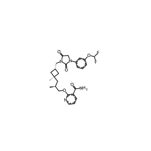 C[C@H](COc1ncccc1C(N)=O)C[C@]1(C)C[C@@H](CN2C(=O)CN(c3cccc(OC(F)F)c3)C2=O)C1